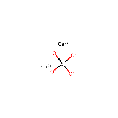 [Ca+2].[Cu+2].[O-][Si]([O-])([O-])[O-]